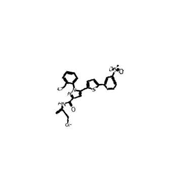 CC(CO)NC(=O)c1cc(-c2ccc(-c3cccc(S(C)(=O)=O)c3)s2)n(-c2ccccc2Cl)n1